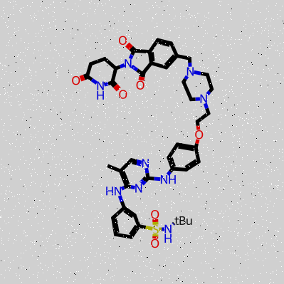 Cc1cnc(Nc2ccc(OCCN3CCN(Cc4ccc5c(c4)C(=O)N(C4CCC(=O)NC4=O)C5=O)CC3)cc2)nc1Nc1cccc(S(=O)(=O)NC(C)(C)C)c1